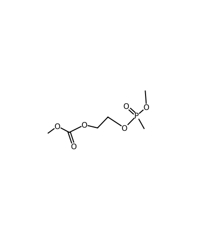 COC(=O)OCCOP(C)(=O)OC